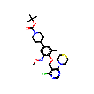 CONc1cc(C2CCN(C(=O)OC(C)(C)C)CC2)cc(C)c1OCc1c(Cl)ncnc1N1CCSCC1